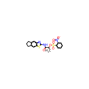 C[C@H](OS(=O)(=O)c1ccccc1[N+](=O)[O-])C(=O)Nc1nc2cc3c(cc2s1)CCC3